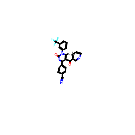 CC1=C(C(=O)c2cccnc2)C(c2ccc(C#N)cc2)[N]C(=O)N1c1cccc(C(F)(F)F)c1